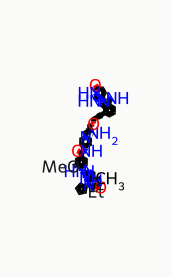 CC[C@@H]1C(=O)N(C)c2cnc(Nc3ccc(C(=O)NC4CCN(C[C@H](N)COCC#Cc5cccc6c5CN(C5CCC(=O)NC5=N)C6=N)CC4)cc3OC)nc2N1C1CCCC1